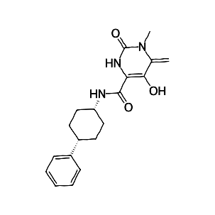 C=C1C(O)=C(C(=O)N[C@H]2CC[C@@H](c3ccccc3)CC2)NC(=O)N1C